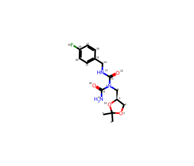 CC1(C)OC[C@H](CN(C(N)=O)C(=O)NCc2ccc(F)cc2)O1